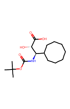 CC(C)(C)OC(=O)N[C@H](C1CCCCCCC1)[C@H](O)C(=O)O